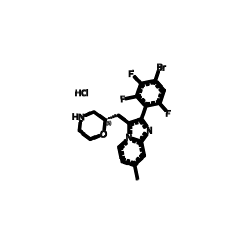 Cc1ccn2c(C[C@H]3CNCCO3)c(-c3c(F)cc(Br)c(F)c3F)nc2c1.Cl